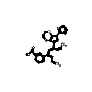 C=C/C=C(/C=C(\C=C/C)c1sc(-c2cccs2)c2c1OCCO2)c1cccc(C(=O)O)c1